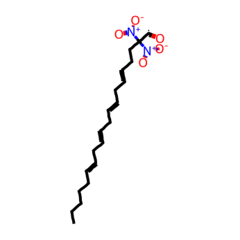 CCCCCC=CCC=CCC=CCC=CCCC([C]=O)([N+](=O)[O-])[N+](=O)[O-]